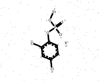 CCOP([O-])(=S)Oc1ccc(Cl)cc1Cl.[K+]